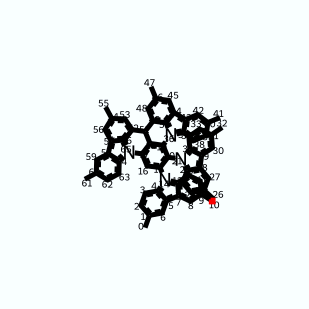 Cc1ccc2c(c1)c1cc(C)ccc1n2-c1cc2c3c(c1-n1c4ccc(C)cc4c4cc(C)ccc41)-n1c4ccc(C)cc4c4cc(C)cc(c41)C3c1cc(C)cc3c4cc(C)ccc4n-2c13